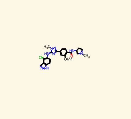 COc1cc(-c2nc(Nc3ccc4[nH]ncc4c3Cl)n(C)n2)ccc1C(=O)NC1CCN(C)C1